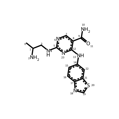 CC(N)CNc1ncc(C(N)=O)c(Nc2ccc3ncsc3c2)n1